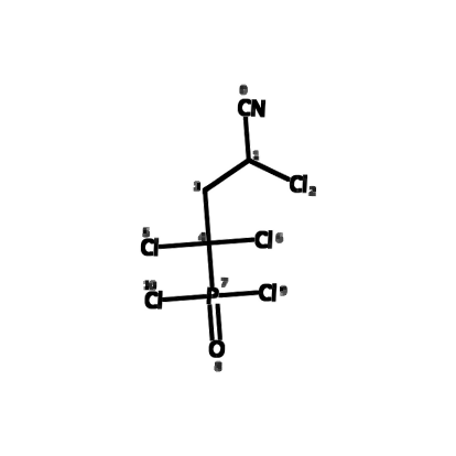 N#CC(Cl)CC(Cl)(Cl)P(=O)(Cl)Cl